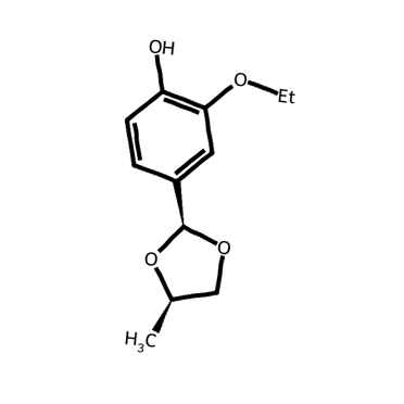 CCOc1cc([C@H]2OC[C@@H](C)O2)ccc1O